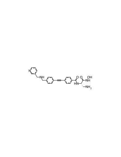 NC[C@H](NC(=O)c1ccc(C#Cc2ccc(CNCc3cccnc3)cc2)cc1)C(=O)NO